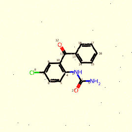 NC(=O)Nc1ccc(Cl)cc1C(=O)c1ccccc1